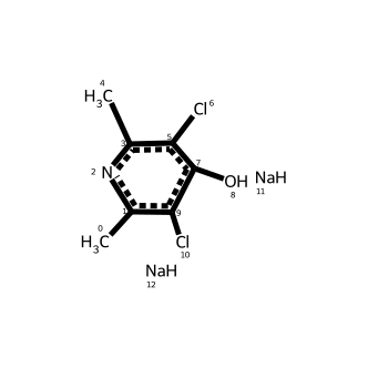 Cc1nc(C)c(Cl)c(O)c1Cl.[NaH].[NaH]